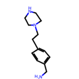 NCc1ccc(CCN2CCNCC2)cc1